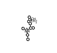 CC1(C)c2ccccc2-c2ccc3cc(-c4cc(-c5nc(-c6ccccc6)nc(-c6ccc(-c7ccccc7)cc6)n5)cc5ccccc45)ccc3c21